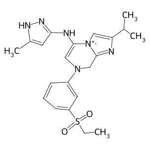 CCS(=O)(=O)c1cccc(N2C=C(Nc3cc(C)[nH]n3)[N+]3C=C(C(C)C)N=C3C2)c1